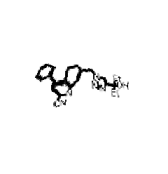 CCC(O)(CC)c1cn(Cc2ccc3c(-c4ccccc4)cc(C#N)nc3c2)nn1